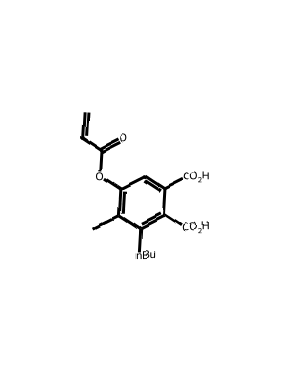 C=CC(=O)Oc1cc(C(=O)O)c(C(=O)O)c(CCCC)c1C